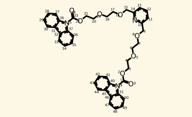 O=C(OCCOCCOCc1cccc(COCCOCCOC(=O)n2c3ccccc3c3ccccc32)n1)n1c2ccccc2c2ccccc21